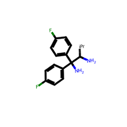 CC(C)C(N)C(N)(c1ccc(F)cc1)c1ccc(F)cc1